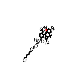 CN(C)SN1C(=O)c2ccc(C(=O)NCCOCCOCCCCCCCl)cc2C12c1ccc(N(C)C)cc1C(C)(C)c1cc(N(C)C)ccc12